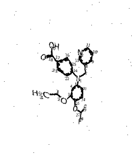 CCOc1cc(N(Cc2cccnc2)c2ccc(C(=O)O)cc2)ccc1OC(F)F